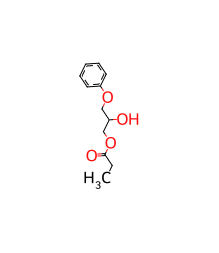 CCC(=O)OCC(O)COc1ccccc1